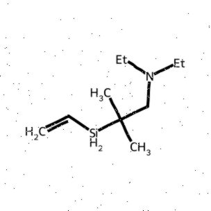 C=C[SiH2]C(C)(C)CN(CC)CC